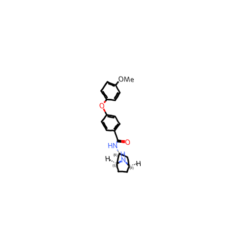 COc1ccc(Oc2ccc(C(=O)N[C@@H]3C[C@H]4CC[C@@H]3N4)cc2)cc1